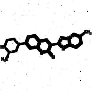 Cc1ccc2nc(-c3cc4ccc(N5CCN[C@H](C)C5)cc4oc3=O)cn2c1